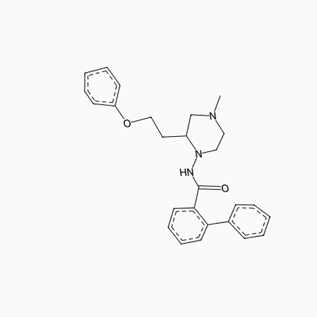 CN1CCN(NC(=O)c2ccccc2-c2ccccc2)C(CCOc2ccccc2)C1